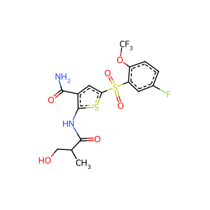 CC(CO)C(=O)Nc1sc(S(=O)(=O)c2cc(F)ccc2OC(F)(F)F)cc1C(N)=O